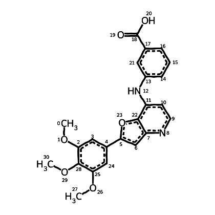 COc1cc(-c2cc3nccc(Nc4cccc(C(=O)O)c4)c3o2)cc(OC)c1OC